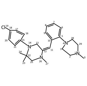 CN1CCN(c2ccccc2C=C2CN(c3ccc(Cl)cc3)C(C)(C)CN2C)CC1